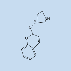 C1=CC(O[C@@H]2CCNC2)Oc2ccccc21